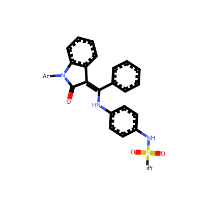 CC(=O)N1C(=O)/C(=C(\Nc2ccc(NS(=O)(=O)C(C)C)cc2)c2ccccc2)c2ccccc21